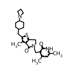 Cc1cc(C)c(CN2CCc3sc(CC4CCC(N5CCC5)CC4)c(C)c3C2=O)c(=O)[nH]1